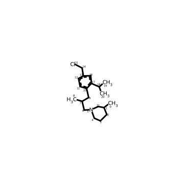 CC1CCCN(CC(C)Cc2ccc(CCl)cc2C(C)C)C1